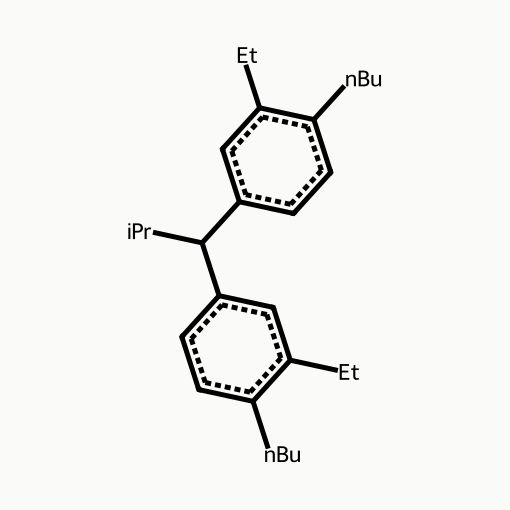 CCCCc1ccc(C(c2ccc(CCCC)c(CC)c2)C(C)C)cc1CC